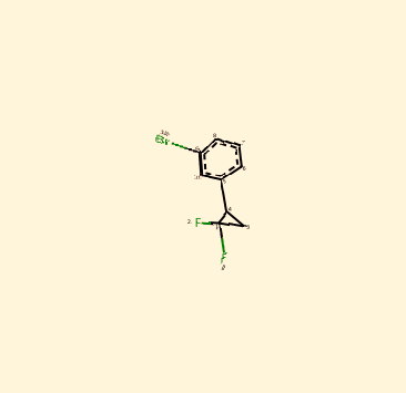 FC1(F)CC1c1c[c]cc(Br)c1